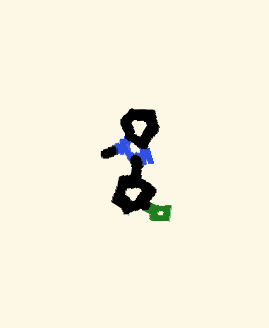 Cn1c(-c2cc[c]c(Cl)c2)nc2ccccc21